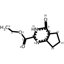 CCOC(=O)c1nc2c(c(=O)[nH]1)CCC2